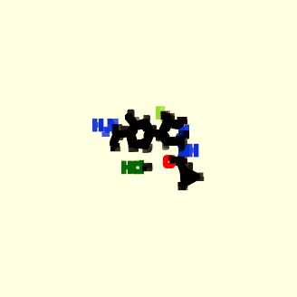 Cc1cc(-c2cc(NC(=O)C3CC3)ncc2F)ccc1C(C)N.Cl